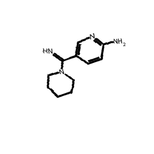 N=C(c1ccc(N)nc1)N1CCCCC1